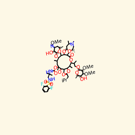 CON=C1C[C@@H](C)O[C@@H](OC2C(C)CC(C)(OC(=O)NC(C)(C)CNS(=O)(=O)c3c(F)cccc3F)C(=O)C(C)C(OC(=O)CC(C)C)C(C)C(C(C)CO[C@@H]3O[C@H](C)[C@@H](O)[C@@H](OC)[C@H]3OC)OC(=O)C(C)C(O[C@H]3CC(C)N(C)C[C@H](C)O3)C2C)[C@@H]1O